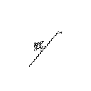 CCCCCCCCCCCCCCCCCCCCCCCCCCO.O=C([O-])CC(O)(CC(=O)[O-])C(=O)O.[K+].[K+]